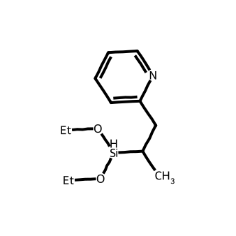 CCO[SiH](OCC)C(C)Cc1ccccn1